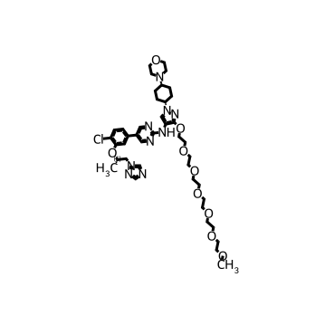 COCCOCCOCCOCCOCCOCCOc1nn([C@H]2CC[C@H](N3CCOCC3)CC2)cc1Nc1ncc(-c2ccc(Cl)c(O[C@@H](C)Cn3cncn3)c2)cn1